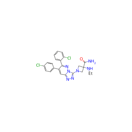 CCNC1(C(N)=O)CN(c2nnc3cc(-c4ccc(Cl)cc4)c(-c4ccccc4Cl)nn23)C1